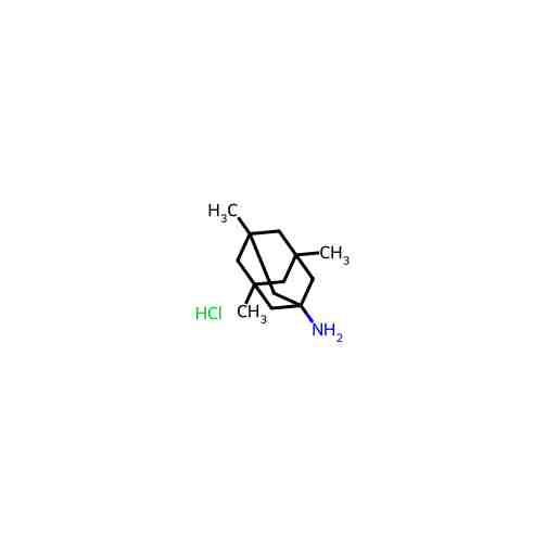 CC12CC3(C)CC(C)(C1)CC(N)(C2)C3.Cl